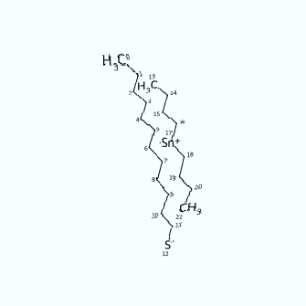 CCCCCCCCCCCC[S-].CCC[CH2][Sn+][CH2]CCC